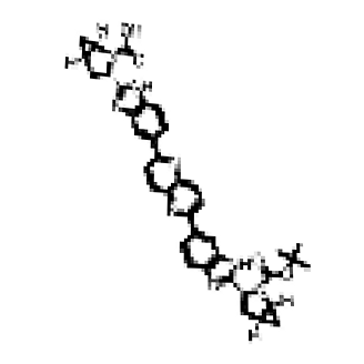 CC(C)(C)OC(=O)N1[C@@H]2C[C@H]2C[C@H]1c1nc2ccc(-c3ccc4nc(-c5ccc6[nH]c([C@@H]7C[C@H]8C[C@H]8N7C(=O)O)nc6c5)ccc4n3)cc2[nH]1